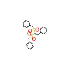 O=S(=O)(Cc1ccccc1)C(=Cc1ccccc1)S(=O)(=O)Cc1ccccc1